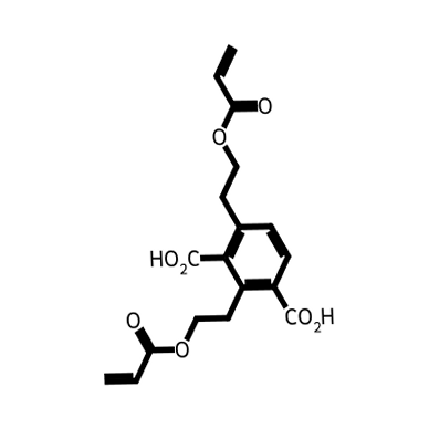 C=CC(=O)OCCc1ccc(C(=O)O)c(CCOC(=O)C=C)c1C(=O)O